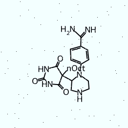 CCCCCCCCC1(C2CNCCN2c2ccc(C(=N)N)cc2)C(=O)NC(=O)NC1=O